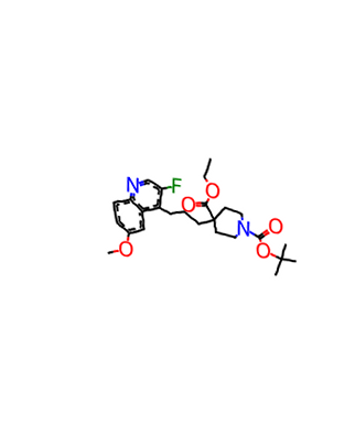 CCOC(=O)C1(CCCc2c(F)cnc3ccc(OC)cc23)CCN(C(=O)OC(C)(C)C)CC1